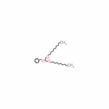 CCCCCCCCCCOCC(COCCCCCCCCCC)OCc1ccccc1